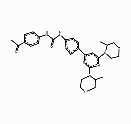 CC(=O)c1ccc(NC(=O)Nc2ccc(-c3nc(N4CCOCC4C)nc(N4CCOCC4C)n3)cc2)cc1